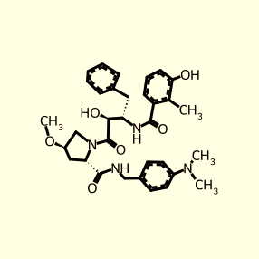 CO[C@@H]1C[C@@H](C(=O)NCc2ccc(N(C)C)cc2)N(C(=O)[C@@H](O)[C@H](Cc2ccccc2)NC(=O)c2cccc(O)c2C)C1